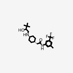 Cc1cc(NC(=O)C[C@H]2CC[C@@H](NCC(O)C(C)(C)C)CC2)cc(C(F)(F)F)c1